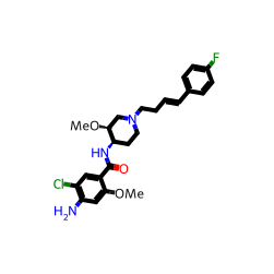 COc1cc(N)c(Cl)cc1C(=O)N[C@@H]1CCN(CCC=Cc2ccc(F)cc2)C[C@@H]1OC